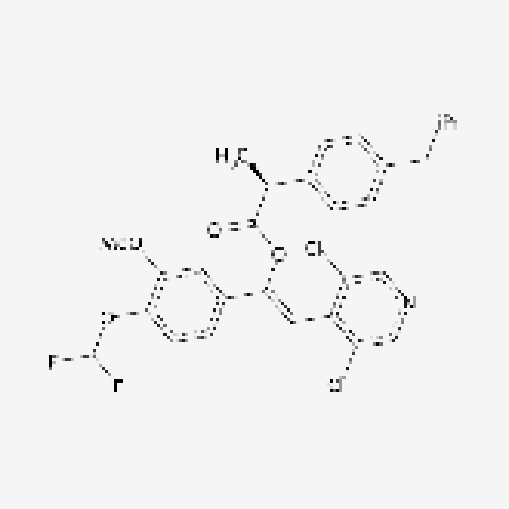 COc1cc(/C(=C/c2c(Cl)cncc2Cl)OC(=O)[C@@H](C)c2ccc(CC(C)C)cc2)ccc1OC(F)F